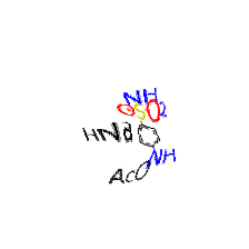 CC(=O)ONc1ccc(S(N)(=O)=O)cc1.[NaH]